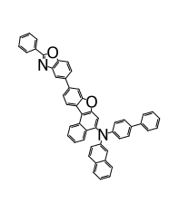 c1ccc(-c2ccc(N(c3ccc4ccccc4c3)c3cc4oc5cc(-c6ccc7oc(-c8ccccc8)nc7c6)ccc5c4c4ccccc34)cc2)cc1